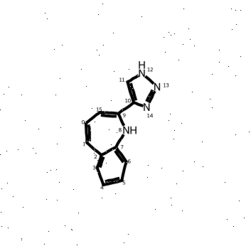 C1=Cc2ccccc2NC(c2c[nH]nn2)=C1